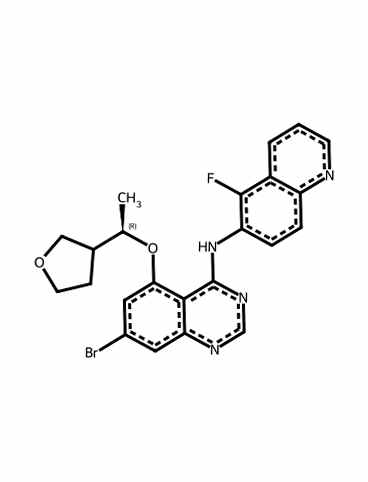 C[C@@H](Oc1cc(Br)cc2ncnc(Nc3ccc4ncccc4c3F)c12)C1CCOC1